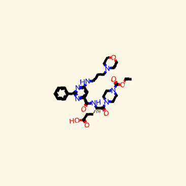 CCOC(=O)N1CCN(C(=O)[C@H](CCC(=O)O)NC(=O)c2cc(NCCCN3CCOCC3)nc(-c3ccccc3)n2)CC1